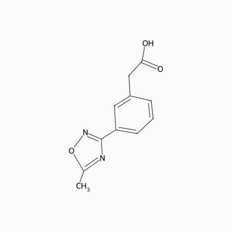 Cc1nc(-c2cccc(CC(=O)O)c2)no1